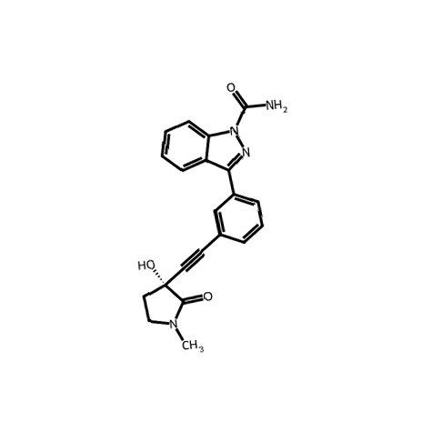 CN1CC[C@@](O)(C#Cc2cccc(-c3nn(C(N)=O)c4ccccc34)c2)C1=O